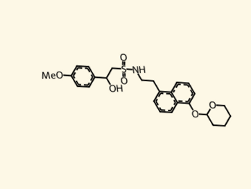 COc1ccc(C(O)CS(=O)(=O)NCCc2cccc3c(OC4CCCCO4)cccc23)cc1